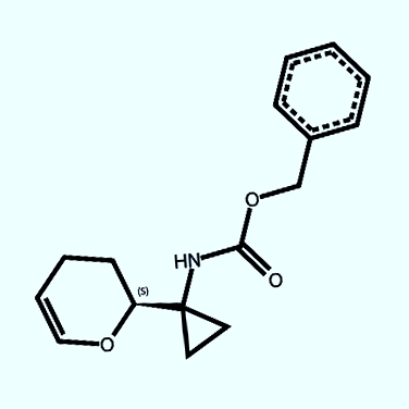 O=C(NC1([C@@H]2CCC=CO2)CC1)OCc1ccccc1